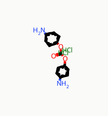 Cl.Cl.Nc1ccc(OC(=O)Oc2ccc(N)cc2)cc1